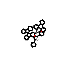 c1ccc(-c2ccc(-c3ccccc3N(c3ccc4c(c3)C3(c5ccccc5-c5ccccc53)c3ccccc3-4)c3cccc4c5ccccc5c5ccccc5c34)s2)cc1